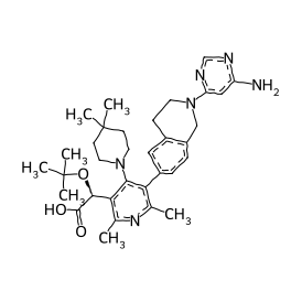 Cc1nc(C)c([C@H](OC(C)(C)C)C(=O)O)c(N2CCC(C)(C)CC2)c1-c1ccc2c(c1)CCN(c1cc(N)ncn1)C2